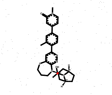 CB(O)N1[C@@H]2CC[C@H]1C[C@H](N1CCCSc3cc(-c4ccc(-c5ccn(C)c(=O)c5)cc4C)nnc31)C2